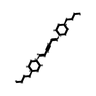 CCCC[C@H]1CC[C@H](C=CC#CC=C[C@H]2CC[C@H](CCCC)CC2)CC1